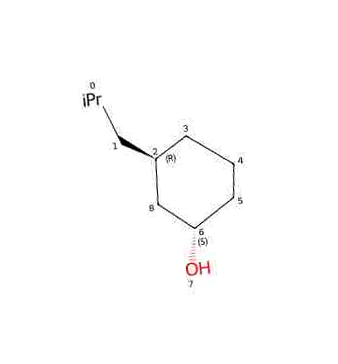 CC(C)C[C@H]1CCC[C@H](O)C1